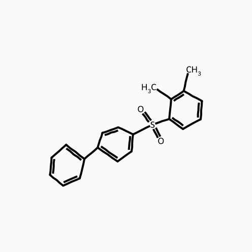 Cc1cccc(S(=O)(=O)c2ccc(-c3ccccc3)cc2)c1C